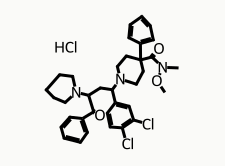 CON(C)C(=O)C1(c2ccccc2)CCN(C(CC(C(=O)c2ccccc2)N2CCCCC2)c2ccc(Cl)c(Cl)c2)CC1.Cl